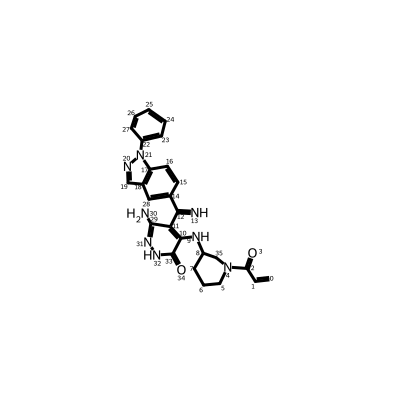 C=CC(=O)N1CCCC(Nc2c(C(=N)c3ccc4c(cnn4-c4ccccc4)c3)c(N)n[nH]c2=O)C1